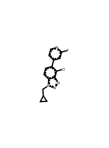 Fc1cc(-c2ccc3c(nnn3CC3CC3)c2Cl)ccn1